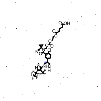 Cn1nc(C(F)(F)C(F)(F)F)c(C(F)(F)F)c1N/C=C(\C=N)c1ccc(Cl)c(C(=O)N(COC(=O)OCCOC(=O)CCCC(=O)O)C2(C#N)CC2)c1